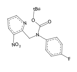 CC(C)(C)OC(=O)N(Cc1ncccc1[N+](=O)[O-])c1ccc(F)cc1